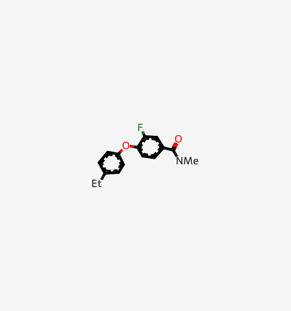 CCc1ccc(Oc2ccc(C(=O)NC)cc2F)cc1